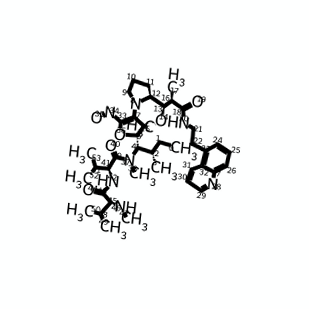 CC[C@H](C)C([C@H]1CC(N2CCC[C@H]2[C@H](OC)[C@@H](C)C(=O)NCCc2cccc3ncccc23)=C(N=O)O1)N(C)C(=O)[C@@H](NC(=O)[C@@H](NC)C(C)C)C(C)C